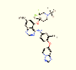 [2H]C([2H])([2H])N1CC[C@]([2H])(Oc2cc(OC)cc3ncnc(Nc4ccc(Oc5ccn6ncnc6c5)c(C)c4)c23)C(F)(F)C1